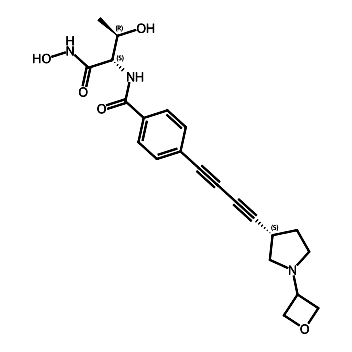 C[C@@H](O)[C@H](NC(=O)c1ccc(C#CC#C[C@@H]2CCN(C3COC3)C2)cc1)C(=O)NO